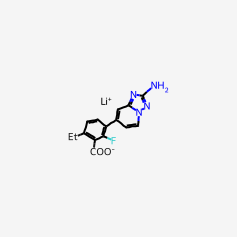 CCc1ccc(-c2ccn3nc(N)nc3c2)c(F)c1C(=O)[O-].[Li+]